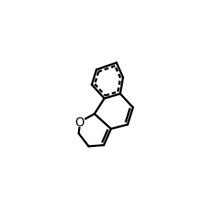 C1=Cc2ccccc2C2OCCC=C12